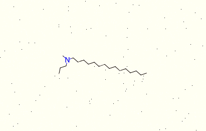 CCCCCCCCCCCCCCCN(C)CCC